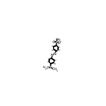 CN(C)c1ccc(/N=N/c2ccc(S(C)(=O)=O)cc2)cc1